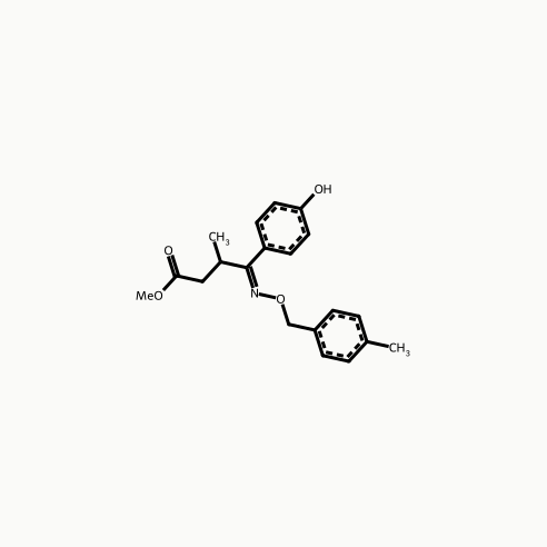 COC(=O)CC(C)C(=NOCc1ccc(C)cc1)c1ccc(O)cc1